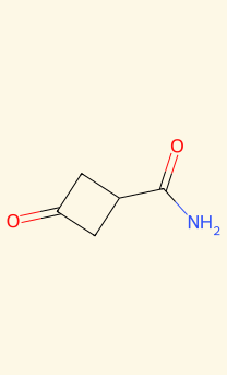 NC(=O)C1CC(=O)C1